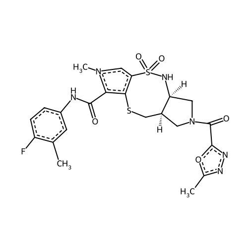 Cc1nnc(C(=O)N2C[C@H]3CSc4c(cn(C)c4C(=O)Nc4ccc(F)c(C)c4)S(=O)(=O)N[C@H]3C2)o1